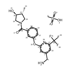 CS(=O)(=O)O.NCc1cc(Oc2cccc(C(=O)N3C[C@@H](O)[C@H](F)C3)c2)nc(C(F)(F)F)c1